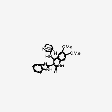 COc1cc2[nH]c(=O)c(-c3nc4ccccc4[nH]3)c(N[C@H]3CN4CCC3CC4)c2cc1OC